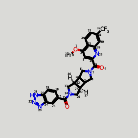 CC(C)Oc1cc(C(=O)N2CC3C(C2)[C@@H]2CN(C(=O)c4ccc5[nH]nnc5c4)C[C@H]32)nc2cc(C(F)(F)F)ccc12